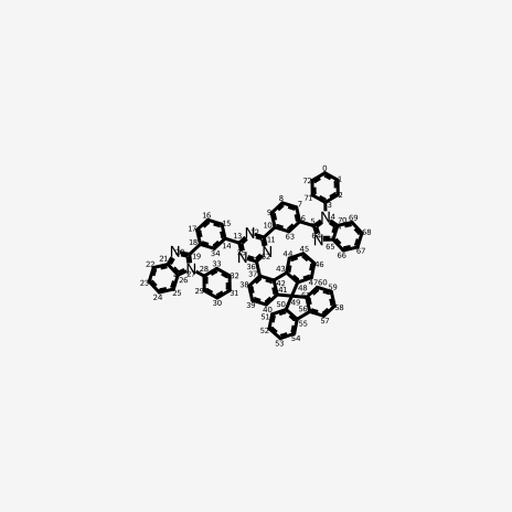 c1ccc(-n2c(-c3cccc(-c4nc(-c5cccc(-c6nc7ccccc7n6-c6ccccc6)c5)nc(-c5cccc6c5-c5ccccc5C65c6ccccc6-c6ccccc65)n4)c3)nc3ccccc32)cc1